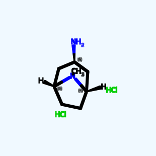 CN1[C@@H]2CC[C@H]1C[C@H](N)C2.Cl.Cl